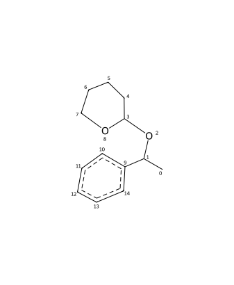 CC(OC1CCCCO1)c1ccccc1